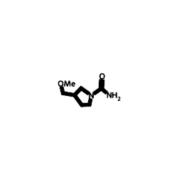 COCC1CCN(C(N)=O)C1